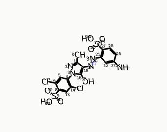 Cc1nn(-c2cc(Cl)c(S(=O)(=O)O)cc2Cl)c(O)c1/N=N/c1cc([NH])ccc1S(=O)(=O)O